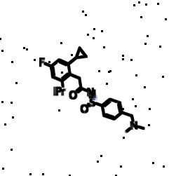 CC(C)c1cc(F)cc(C2CC2)c1CC(=O)/N=[SH](=O)/c1ccc(CN(C)C)cc1